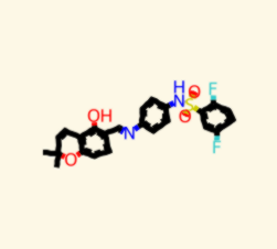 CC1(C)C=Cc2c(ccc(C=Nc3ccc(NS(=O)(=O)c4cc(F)ccc4F)cc3)c2O)O1